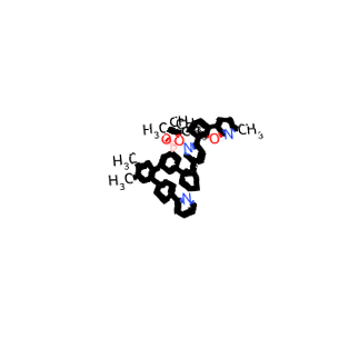 Cc1ccc2c(n1)oc1c(-c3ccc(C4=C(c5cc(B6OC(C)(C)C(C)(C)O6)cc(-c6cc(C)c(C)cc6-c6ccc(-c7ccccn7)cc6)c5)C=CCC4)cn3)cccc12